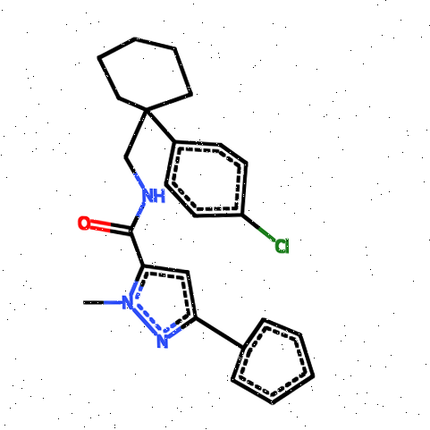 Cn1nc(-c2ccccc2)cc1C(=O)NCC1(c2ccc(Cl)cc2)CCCCC1